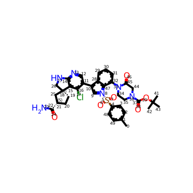 Cc1ccc(S(=O)(=O)n2cc(-c3cnc4c(c3Cl)[C@]3(CC[C@H](C(N)=O)C3)CN4)c3cccc(N4CCN(C(=O)OC(C)(C)C)CC4=O)c32)cc1